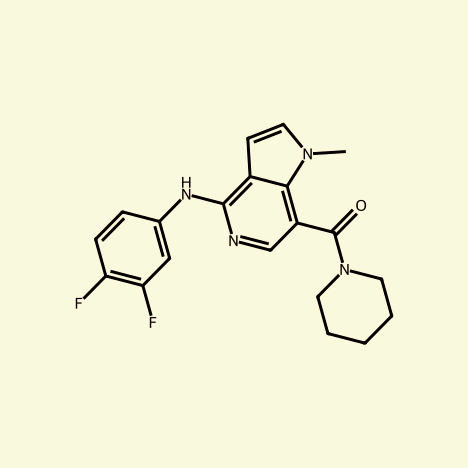 Cn1ccc2c(Nc3ccc(F)c(F)c3)ncc(C(=O)N3CCCCC3)c21